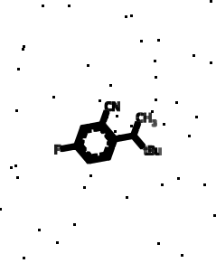 CC(c1ccc(F)cc1C#N)C(C)(C)C